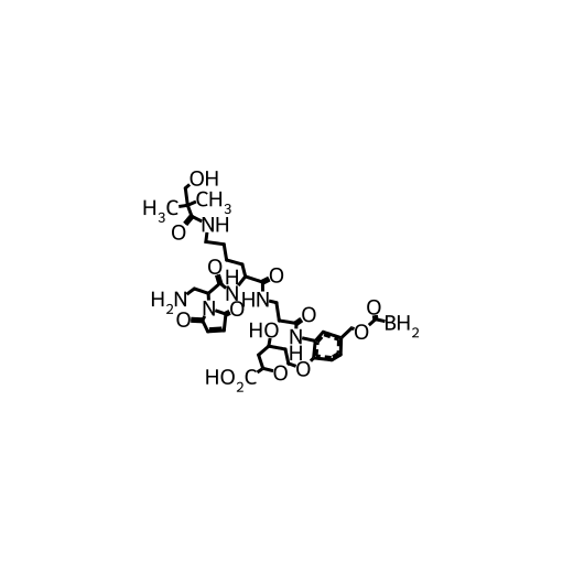 BC(=O)OCc1ccc(OC2CC(O)CC(C(=O)O)O2)c(NC(=O)CCNC(=O)C(CCCCNC(=O)C(C)(C)CO)NC(=O)C(CN)N2C(=O)C=CC2=O)c1